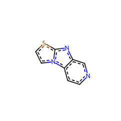 c1cc2c(cn1)nc1sccn12